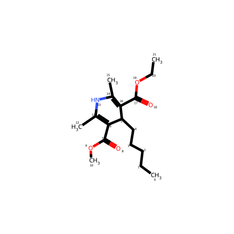 CCCCCC1C(C(=O)OC)=C(C)NC(C)=C1C(=O)OCC